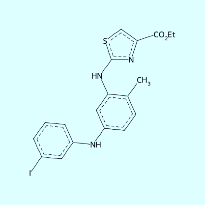 CCOC(=O)c1csc(Nc2cc(Nc3cccc(I)c3)ccc2C)n1